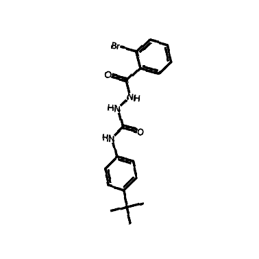 CC(C)(C)c1ccc(NC(=O)NNC(=O)c2ccccc2Br)cc1